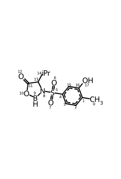 Cc1ccc(S(=O)(=O)N2BOC(=O)C2C(C)C)cc1O